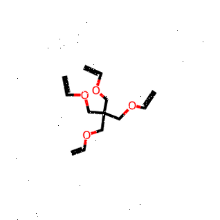 C=COCC(COC=C)(COC=C)COC=C